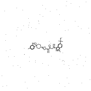 Cc1ccc(C2(O)CCC(N3CC(NC(=O)CNc4nn(C)c5ccc(C(C)(C)F)cc45)C3)CC2)cc1